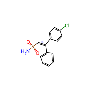 NS(=O)(=O)/C=C(\c1ccccc1)c1ccc(Cl)cc1